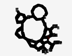 COC(=O)[C@@H](OC(C)(C)C)c1c(C)nc2cc3nn2c1-c1ccc(C)c(c1)OC1CCCCCCCC(C1)Oc1cc(F)ccc1-c1cccc-3c1